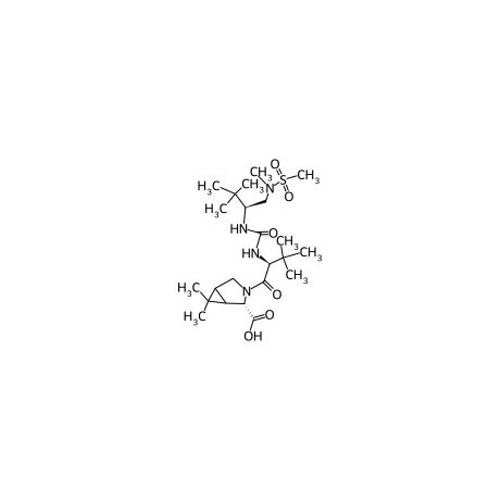 CN(C[C@@H](NC(=O)N[C@H](C(=O)N1CC2C([C@H]1C(=O)O)C2(C)C)C(C)(C)C)C(C)(C)C)S(C)(=O)=O